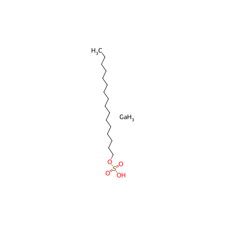 CCCCCCCCCCCCCCCCOS(=O)(=O)O.[GaH3]